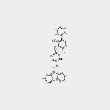 O=C(N[C@@H](Cc1ccc(-c2ccccc2)c(Cl)c1)C(=O)O)OCC1c2ccccc2-c2ccccc21